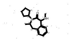 CNC1C(=O)N(C2CCCC2)C(C)Cc2ccccc21